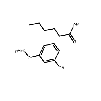 CCCCCC(=O)O.CCCCCCOc1cccc(O)c1